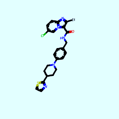 CCc1nc2ccc(Cl)cn2c1C(=O)NCc1ccc(N2CCC(c3nccs3)CC2)cc1